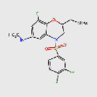 CC(=O)NCC1CN(S(=O)(=O)c2ccc(F)c(F)c2)c2cc(NC(=O)O)cc(F)c2O1